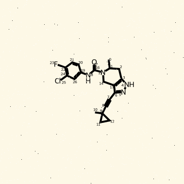 CC1Cc2[nH]nc(C#CC3(C)CC3)c2CN1C(=O)Nc1ccc(F)c(Cl)c1